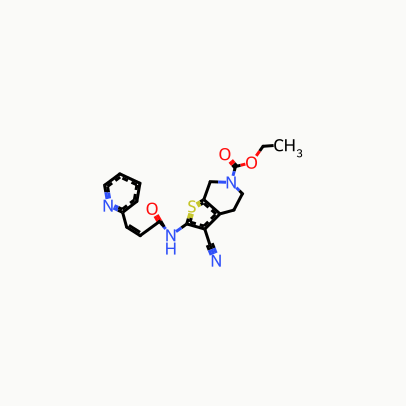 CCOC(=O)N1CCc2c(sc(NC(=O)/C=C\c3ccccn3)c2C#N)C1